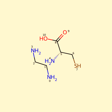 NCCN.N[C@@H](CS)C(=O)O